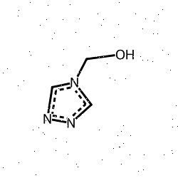 OCn1cnnc1